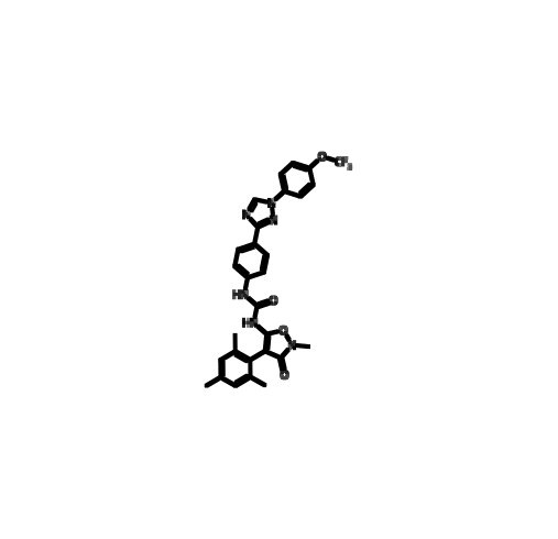 Cc1cc(C)c(-c2c(NC(=O)Nc3ccc(-c4ncn(-c5ccc(OC(F)(F)F)cc5)n4)cc3)on(C)c2=O)c(C)c1